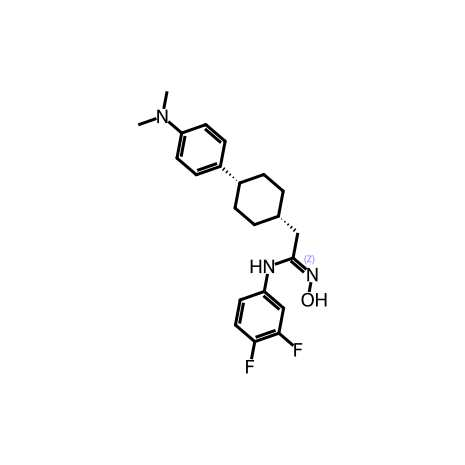 CN(C)c1ccc([C@H]2CC[C@@H](C/C(=N/O)Nc3ccc(F)c(F)c3)CC2)cc1